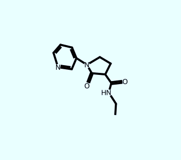 CCNC(=O)C1CCN(c2cccnc2)C1=O